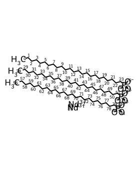 CCCCCCCCCCCCCCCCCCCCCCCCP(=O)([O-])[O-].CCCCCCCCCCCCCCCCCCCCCCCCP(=O)([O-])[O-].CCCCCCCCCCCCCCCCCCCCCCCCP(=O)([O-])[O-].[Nd+3].[Nd+3]